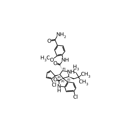 COc1cc(C(N)=O)ccc1NC(=O)[C@@H]1N[C@@H](CC(C)(C)C)[C@@]2(C(=O)Nc3cc(Cl)ccc32)[C@H]1C1C=CC=C1Cl